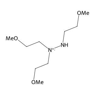 COCCN[N+](CCOC)CCOC